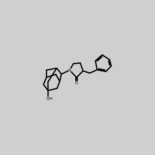 O=C1C(Cc2ccccc2)CCN1C1C2CC3CC1CC(O)(C3)C2